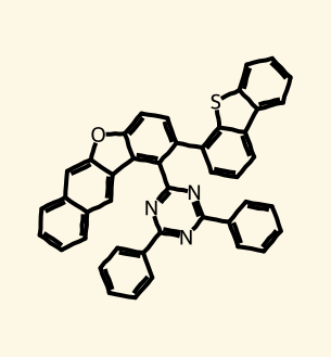 c1ccc(-c2nc(-c3ccccc3)nc(-c3c(-c4cccc5c4sc4ccccc45)ccc4oc5cc6ccccc6cc5c34)n2)cc1